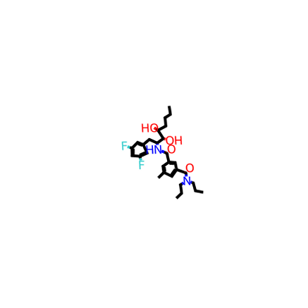 CCCCC(O)C(O)C(Cc1cc(F)cc(F)c1)NC(=O)c1cc(C)cc(C(=O)N(CCC)CCC)c1